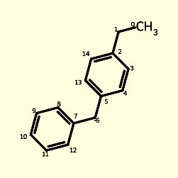 CCc1ccc([CH]c2ccccc2)cc1